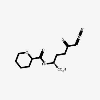 [N-]=[N+]=CC(=O)CC[C@H](NC(=O)C1CCCCO1)C(=O)O